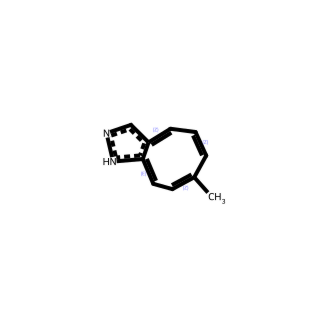 CC1=C/C=c2/[nH]nc/c2=C/C=C\1